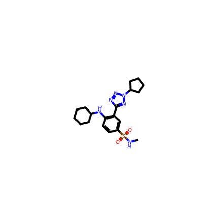 CNS(=O)(=O)c1ccc(NC2CCCCC2)c(-c2nnn(C3CCCC3)n2)c1